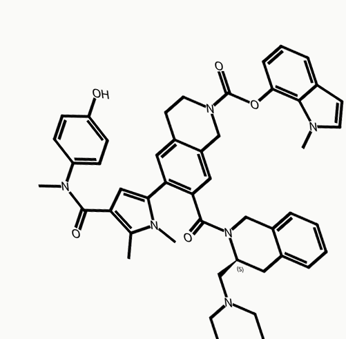 Cc1c(C(=O)N(C)c2ccc(O)cc2)cc(-c2cc3c(cc2C(=O)N2Cc4ccccc4C[C@H]2CN2CCOCC2)CN(C(=O)Oc2cccc4ccn(C)c24)CC3)n1C